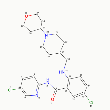 O=C(Nc1ccc(Cl)cn1)c1cc(Cl)ccc1NCC1CCN(C2CCOCC2)CC1